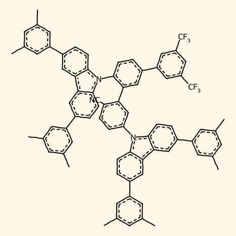 Cc1cc(C)cc(-c2ccc3c(c2)c2cc(-c4cc(C)cc(C)c4)ccc2n3-c2ccc(C#N)c(-c3cc(-c4cc(C(F)(F)F)cc(C(F)(F)F)c4)ccc3-n3c4ccc(-c5cc(C)cc(C)c5)cc4c4cc(-c5cc(C)cc(C)c5)ccc43)c2)c1